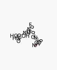 O=C(Cc1ccc(CC(=O)N(CCCNC[C@H](O)c2ccc(O)c3[nH]c(=O)ccc23)Cc2ccccc2F)cc1)N1CCC(C(=O)O[C@H]2CN3CCC2CC3)(c2ccccc2)CC1